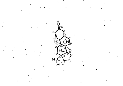 CC(=O)[C@H]1CC[C@H]2[C@@H]3CCC4=CC(=O)C=C[C@]4(C)[C@H]3CC[C@]12C